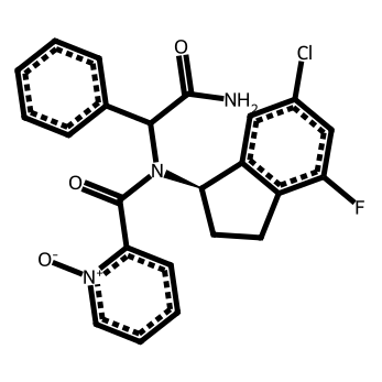 NC(=O)C(c1ccccc1)N(C(=O)c1cccc[n+]1[O-])[C@@H]1CCc2c(F)cc(Cl)cc21